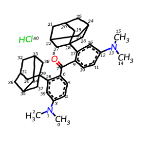 CN(C)c1ccc(C(=O)c2ccc(N(C)C)cc2C23CC4CC(CC(C4)C2)C3)c(C23CC4CC(CC(C4)C2)C3)c1.Cl